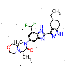 CC[C@H]1CCc2[nH]nc(-c3nc4cc(N(C)C(=O)[C@H](C)N5CCOCC5)cc(C(F)F)c4[nH]3)c2C1